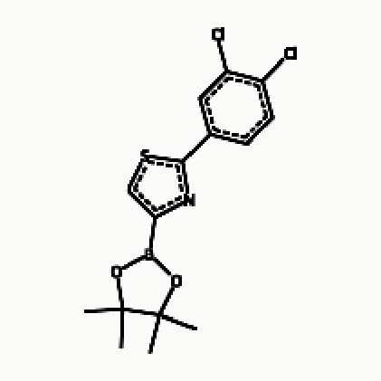 CC1(C)OB(c2csc(-c3ccc(Cl)c(Cl)c3)n2)OC1(C)C